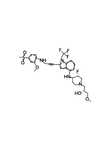 COC[C@H](O)CN1CC[C@@H](Nc2cccc3c2cc(C#CCNc2ccc(S(C)(=O)=O)cc2OC)n3CC(F)(F)F)[C@H](F)C1